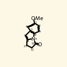 COc1ccc2c(c1)cc1n2C(=O)CC1